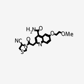 COCCOc1ccc2nc(CC(=O)N3CSCC3C#N)cc(C(N)=O)c2c1